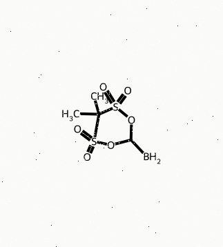 BC1OS(=O)(=O)C(C)(C)S(=O)(=O)O1